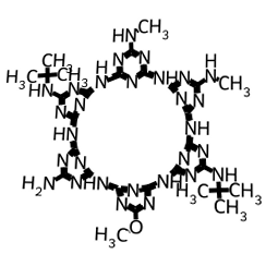 CNc1nc2nc(n1)[nH]c1nc(NC(C)(C)C)nc(n1)[nH]c1nc(N)nc(n1)[nH]c1nc(OC)nc(n1)[nH]c1nc(NC(C)(C)C)nc(n1)[nH]c1nc(NC)nc(n1)[nH]2